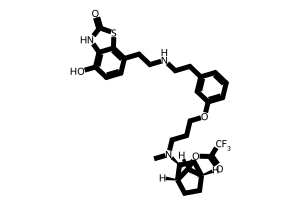 CN(CCCOc1cccc(CCNCCc2ccc(O)c3[nH]c(=O)sc23)c1)[C@H]1C[C@@H]2CC[C@H]1[C@@H]2OC(=O)C(F)(F)F